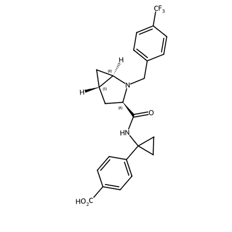 O=C(O)c1ccc(C2(NC(=O)[C@H]3C[C@@H]4C[C@H]4N3Cc3ccc(C(F)(F)F)cc3)CC2)cc1